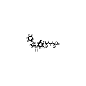 COC(=O)CCCC(=O)Oc1c(C)cc(Nc2ccn(-c3ccccc3)n2)cc1C